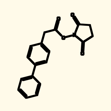 O=C(Cc1ccc(-c2ccccc2)cc1)ON1C(=O)CCC1=O